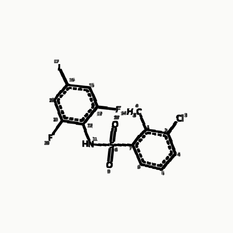 Cc1c(Cl)cccc1S(=O)(=O)Nc1c(F)cc(I)cc1F